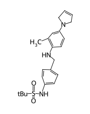 Cc1cc(N2CC=CC2)ccc1NCc1ccc(NS(=O)(=O)C(C)(C)C)cc1